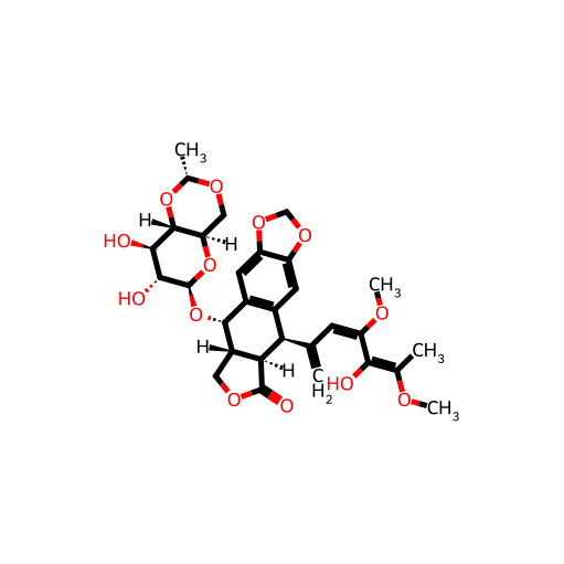 C=C(/C=C(OC)\C(O)=C(/C)OC)[C@@H]1c2cc3c(cc2[C@@H](O[C@@H]2O[C@@H]4CO[C@@H](C)O[C@H]4[C@H](O)[C@H]2O)[C@H]2COC(=O)[C@@H]21)OCO3